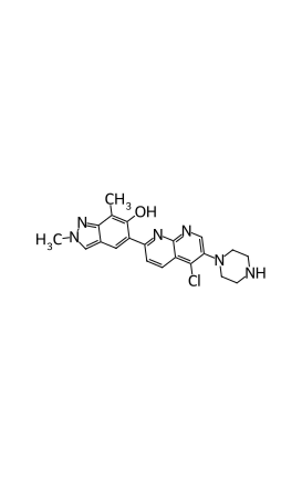 Cc1c(O)c(-c2ccc3c(Cl)c(N4CCNCC4)cnc3n2)cc2cn(C)nc12